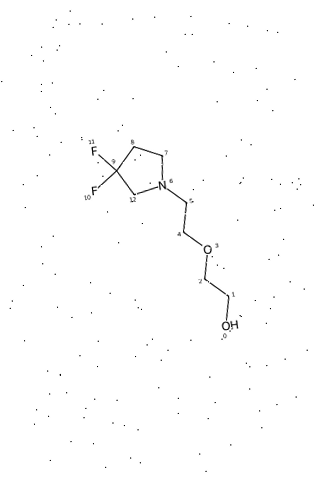 OCCOCCN1CCC(F)(F)C1